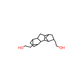 OCCC1CC2CC1C1C2CC2C3CCC(C3CCO)C21